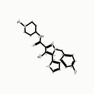 CC(C)N1CCC(NC(=O)c2nn(Cc3ccc(Cl)cc3)c(-c3cccs3)c2C#N)CC1